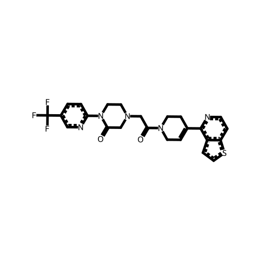 O=C(CN1CCN(c2ccc(C(F)(F)F)cn2)C(=O)C1)N1CC=C(c2nccc3sccc23)CC1